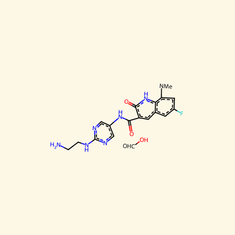 CNc1cc(F)cc2cc(C(=O)Nc3cnc(NCCN)nc3)c(=O)[nH]c12.O=CO